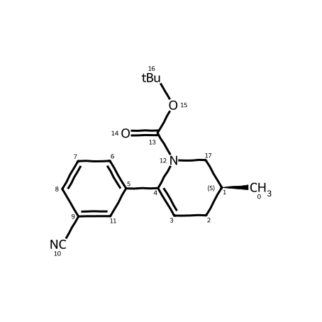 C[C@H]1CC=C(c2cccc(C#N)c2)N(C(=O)OC(C)(C)C)C1